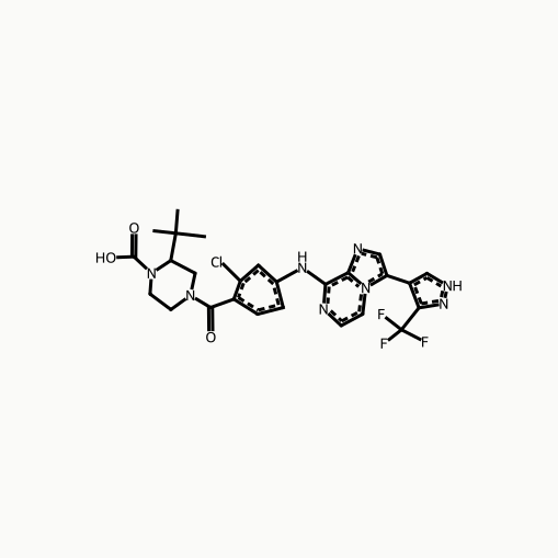 CC(C)(C)C1CN(C(=O)c2ccc(Nc3nccn4c(-c5c[nH]nc5C(F)(F)F)cnc34)cc2Cl)CCN1C(=O)O